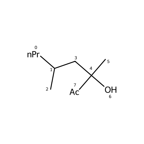 CCCC(C)CC(C)(O)C(C)=O